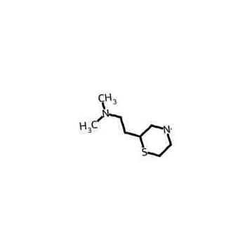 CN(C)CCC1C[N]CCS1